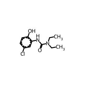 CCN(CC)C(=O)Nc1cc(Cl)ccc1O